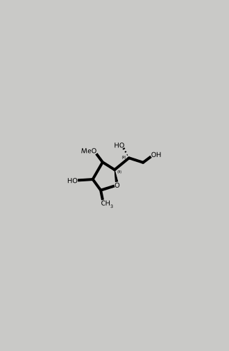 COC1C(O)C(C)O[C@@H]1[C@H](O)CO